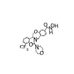 O=C(NO)c1ccc2c(c1)OCC(c1cccc(C(F)(F)F)c1)N(C(=O)N1CCOCC1)C2